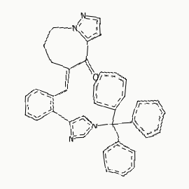 O=C1C(=Cc2ccccc2-c2cn(C(c3ccccc3)(c3ccccc3)c3ccccc3)cn2)CCCn2nccc21